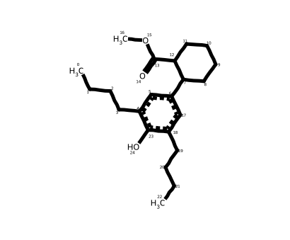 CCCCc1cc(C2CCCCC2C(=O)OC)cc(CCCC)c1O